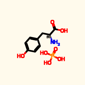 N[C@H](Cc1ccc(O)cc1)C(=O)O.O=P(O)(O)O